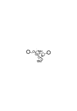 C[C@H](NC(=O)[C@H]1C[C@@H](c2ccccc2)CN1C(=O)OC(C)(C)C)C(=O)OCc1ccccc1